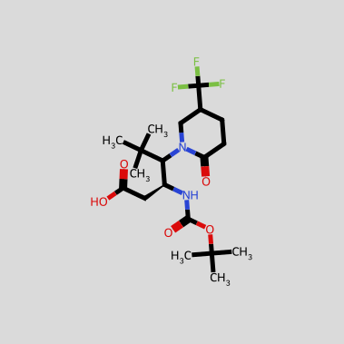 CC(C)(C)OC(=O)N[C@@H](CC(=O)O)C(N1CC(C(F)(F)F)CCC1=O)C(C)(C)C